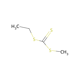 CCSC(=S)SC